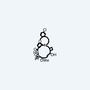 CO[C@@H]1C/C=C/[C@H](O)C2CCC2CN2CCCCc3cc(Cl)ccc3COc3ccc(cc32)C(=O)NS(=O)(=O)[C@H]1C(C)C